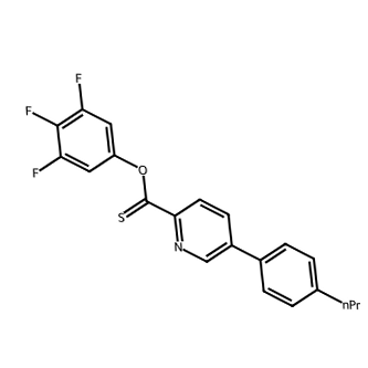 CCCc1ccc(-c2ccc(C(=S)Oc3cc(F)c(F)c(F)c3)nc2)cc1